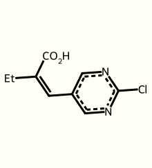 CCC(=Cc1cnc(Cl)nc1)C(=O)O